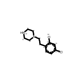 Clc1ccc(CCN2CCNCC2)c(Cl)c1